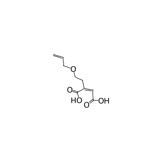 C=CCOCCC(=CC(=O)O)C(=O)O